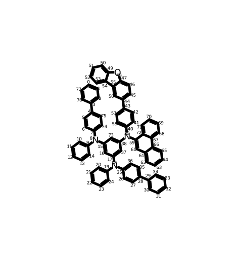 c1ccc(-c2ccc(N(c3ccccc3)c3cc(N(c4ccccc4)c4ccc(-c5ccccc5)cc4)cc(N(c4ccc(-c5ccc6oc7ccccc7c6c5)cc4)c4cc5ccccc5c5ccccc45)c3)cc2)cc1